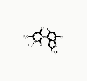 Cn1c(C(F)(F)F)cc(=O)n(-c2c(F)cc(Cl)c3oc(C(=O)O)cc23)c1=O